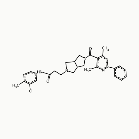 Cc1ccc(NC(=O)CCN2CC3CN(C(=O)c4c(C)nc(-c5ccccc5)nc4C)CC3C2)cc1Cl